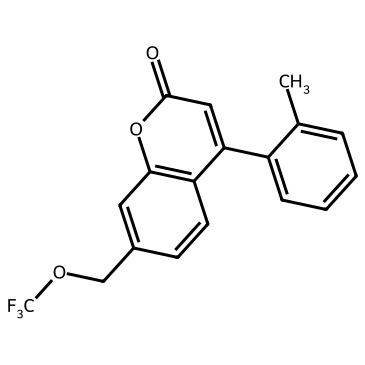 Cc1ccccc1-c1cc(=O)oc2cc(COC(F)(F)F)ccc12